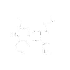 CC(C)(C)OC(=O)N1C[C@]2(C[C@H]1C(N)=O)OC(=O)Nc1ccccc12